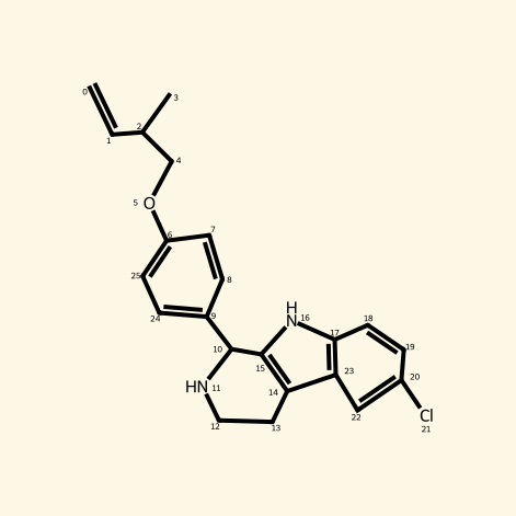 C=CC(C)COc1ccc(C2NCCc3c2[nH]c2ccc(Cl)cc32)cc1